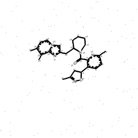 CC1=NOC(c2ccc(C)nc2C(=O)N2CCCCC2Cc2cn3ccc(C)c(C)c3n2)C1